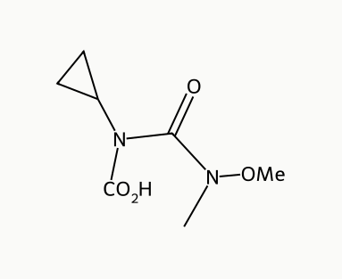 CON(C)C(=O)N(C(=O)O)C1CC1